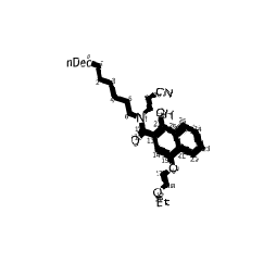 CCCCCCCCCCCCCCCCN(CCC#N)C(=O)c1cc(OCCOCC)c2ccccc2c1O